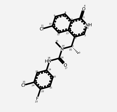 C[C@@H](c1c[nH]c(=O)c2ccc(Cl)cc12)N(C)C(=O)Nc1ccc(F)c(Cl)c1